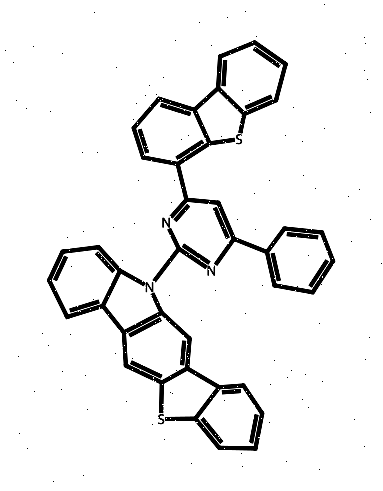 c1ccc(-c2cc(-c3cccc4c3sc3ccccc34)nc(-n3c4ccccc4c4cc5sc6ccccc6c5cc43)n2)cc1